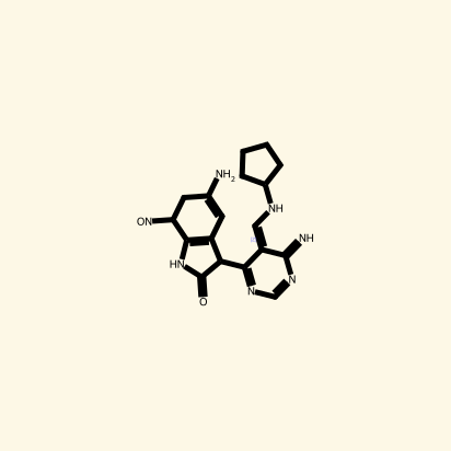 N=C1N=CN=C(C2C(=O)NC3=C2C=C(N)CC3N=O)/C1=C/NC1CCCC1